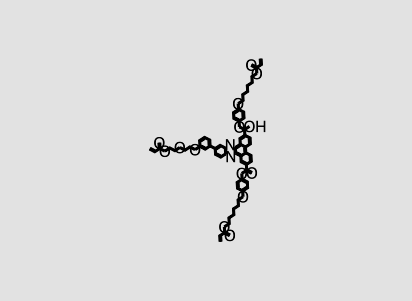 C=CC(=O)OCCCCCCOc1ccc(OC(=O)c2ccc3c4ccc(C(O)Oc5ccc(OCCCCCCOC(=O)C=C)cc5)cc4c4nc5cc(-c6cccc(OCCOCCOC(=O)C=C)c6)ccc5nc4c3c2)cc1